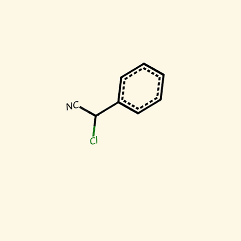 N#C[C](Cl)c1ccccc1